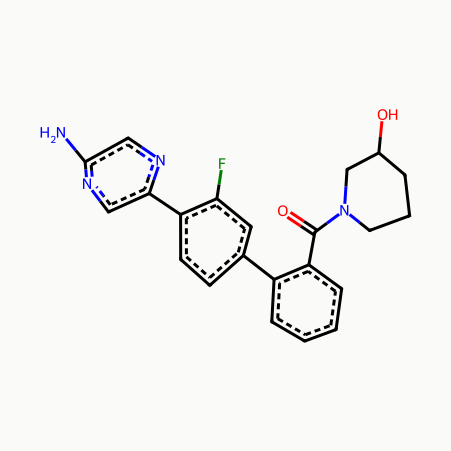 Nc1cnc(-c2ccc(-c3ccccc3C(=O)N3CCCC(O)C3)cc2F)cn1